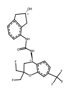 O=C(Nc1cccc2c1C[C@@H](O)C2)N[C@@H]1CC(CF)(CF)Oc2cc(C(F)(F)F)ccc21